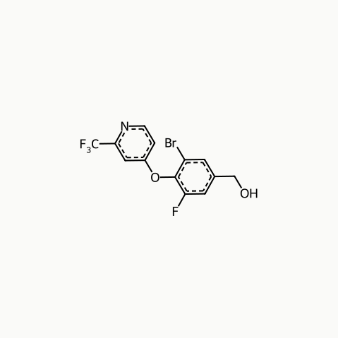 OCc1cc(F)c(Oc2ccnc(C(F)(F)F)c2)c(Br)c1